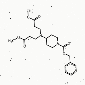 COC(=O)CCN(CCC(=O)OC)C1CCN(C(=O)OCc2ccccc2)CC1